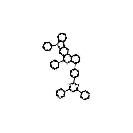 c1ccc(-c2nc3c(-c4ccc(-c5nc(-c6cccnc6)cc(-c6cccnc6)n5)cc4)cccc3c3cc4c5ccccc5n(-c5ccccc5)c4cc23)cc1